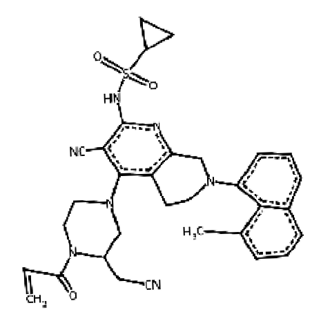 C=CC(=O)N1CCN(c2c(C#N)c(NS(=O)(=O)C3CC3)nc3c2CCN(c2cccc4cccc(C)c24)C3)CC1CC#N